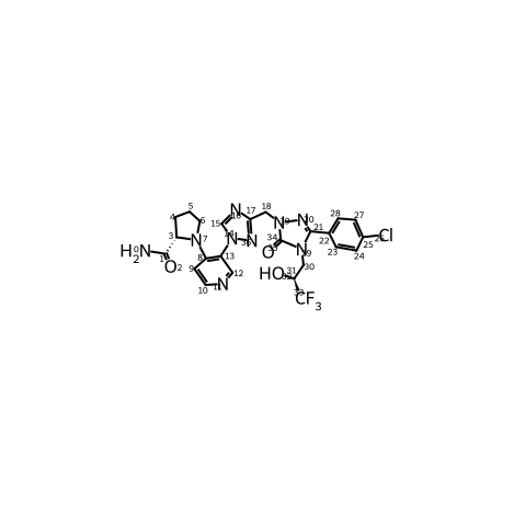 NC(=O)[C@@H]1CCCN1c1ccncc1-n1cnc(Cn2nc(-c3ccc(Cl)cc3)n(C[C@H](O)C(F)(F)F)c2=O)n1